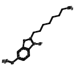 CCCCCCCCN1Sc2cc(OC)ccc2[S+]1[O-]